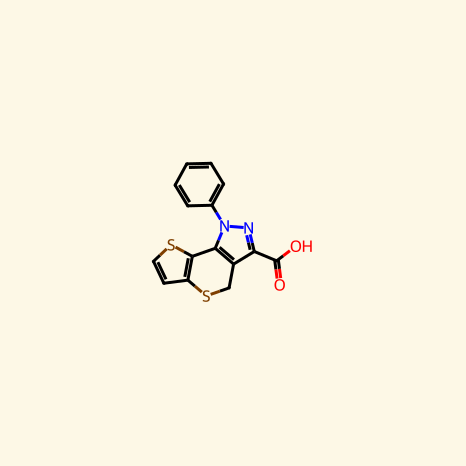 O=C(O)c1nn(-c2ccccc2)c2c1CSc1ccsc1-2